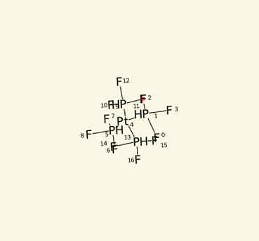 F[PH](F)(F)[Pt]([PH](F)(F)F)([PH](F)(F)F)[PH](F)(F)F